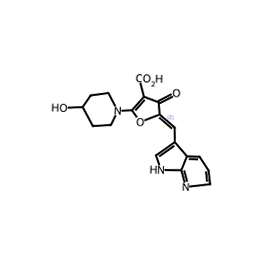 O=C(O)C1=C(N2CCC(O)CC2)O/C(=C\c2c[nH]c3ncccc23)C1=O